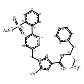 CCCc1cc(C(=O)N[C@@H](CC(=O)O)Cc2ccccc2)nn1Cc1cnc(-c2ccccc2S(=O)(=O)NC(C)=O)cn1